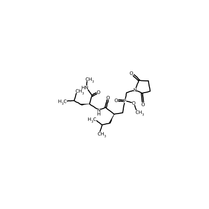 CNC(=O)[C@H](CC(C)C)NC(=O)[C@H](CC(C)C)CP(=O)(CN1C(=O)CCC1=O)OC